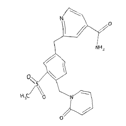 CS(=O)(=O)c1cc(Cc2cc(C(N)=O)ccn2)ccc1Cn1ccccc1=O